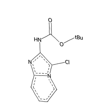 CC(C)(C)OC(=O)Nc1nc2ccccn2c1Cl